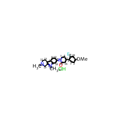 COc1ccc(-c2ccn(-c3ccc4c5c(n(C)c4c3)CN(C)CC5)c(=O)c2)c(F)c1.Cl